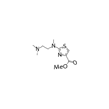 COC(=O)c1csc(N(C)CCN(C)C)n1